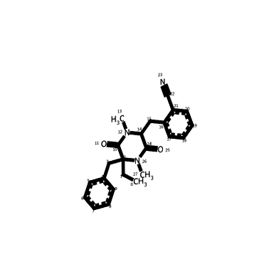 CCC1(Cc2ccccc2)C(=O)N(C)C(Cc2ccccc2C#N)C(=O)N1C